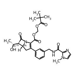 C[C@@H](O)[C@H]1C(=O)N2C(C(=O)OCOC(=O)C(C)(C)C)=C(c3cccc(CNC(=O)c4nccn4C)c3)C[C@H]12